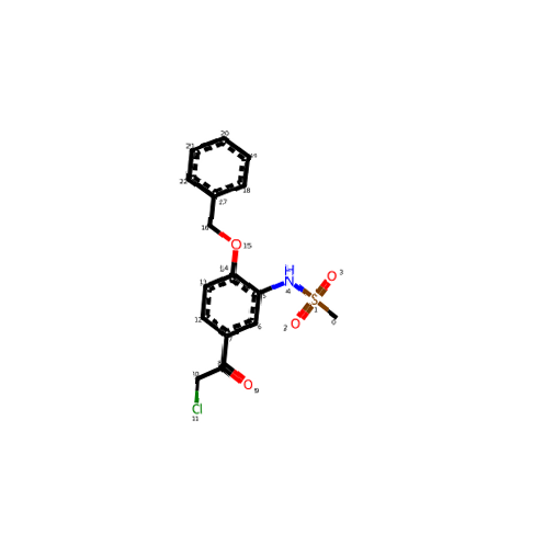 CS(=O)(=O)Nc1cc(C(=O)CCl)ccc1OCc1ccccc1